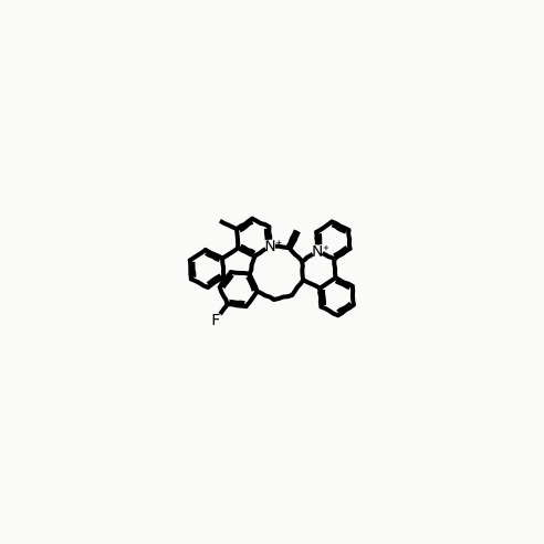 C=C1C2C(CCc3cc(F)ccc3-c3c(-c4ccccc4)c(C)cc[n+]31)c1ccccc1-c1cccc[n+]12